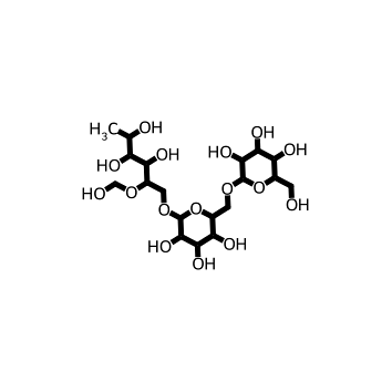 CC(O)C(O)C(O)C(COC1OC(COC2OC(CO)C(O)C(O)C2O)C(O)C(O)C1O)OCO